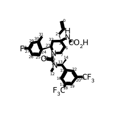 C=CC[C@]1(NC(=O)O)CCN(C(=O)N(C)[C@@H](C)c2cc(C(F)(F)F)cc(C(F)(F)F)c2)[C@@H](c2ccc(F)cc2C)C1